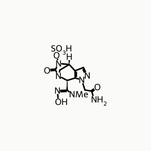 CN/C(=N\O)[C@@H]1c2c(cnn2CC(N)=O)[C@@H]2CN1C(=O)N2OS(=O)(=O)O